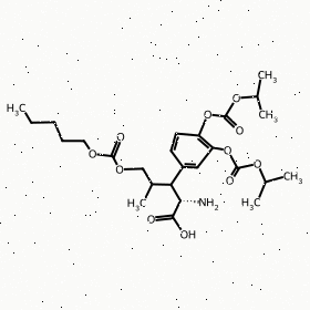 CCCCCOC(=O)OCC(C)C(c1ccc(OC(=O)OC(C)C)c(OC(=O)OC(C)C)c1)[C@H](N)C(=O)O